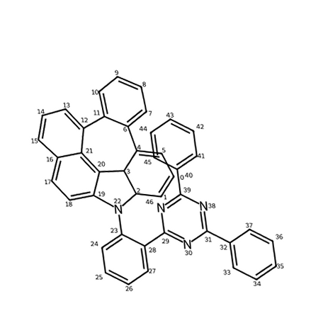 C1=CC2C3C(=C1)c1ccccc1-c1cccc4ccc(c3c14)N2c1ccccc1-c1nc(-c2ccccc2)nc(-c2ccccc2)n1